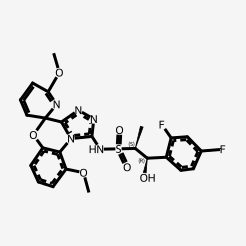 COC1=NC2(C=C=C1)Oc1cccc(OC)c1-n1c(NS(=O)(=O)[C@@H](C)[C@H](O)c3ccc(F)cc3F)nnc12